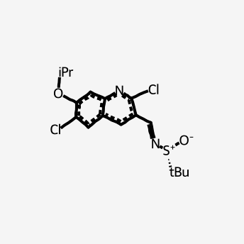 CC(C)Oc1cc2nc(Cl)c(/C=N/[S@+]([O-])C(C)(C)C)cc2cc1Cl